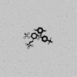 CS(=O)(=O)O[C@@H]1CC[C@@](c2cc(F)ccc2F)(S(=O)(=O)c2ccc(C(F)(F)F)cc2)C[C@H]1CCS(=O)(=O)Cl